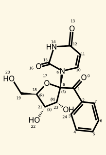 O=C(c1ccccc1)[C@@]1(n2ccc(=O)[nH]c2=O)O[C@H](CO)[C@@H](O)[C@H]1O